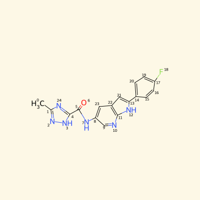 Cc1n[nH]c(C(=O)Nc2cnc3[nH]c(-c4ccc(F)cc4)cc3c2)n1